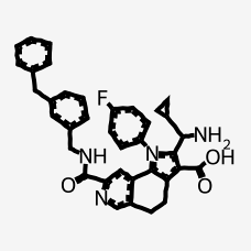 NC(c1c(C(=O)O)c2c(n1-c1ccc(F)cc1)-c1cc(C(=O)NCc3cccc(Cc4ccccc4)c3)ncc1CC2)C1CC1